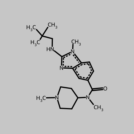 CN1CCC(N(C)C(=O)c2ccc3c(c2)nc(NCC(C)(C)C)n3C)CC1